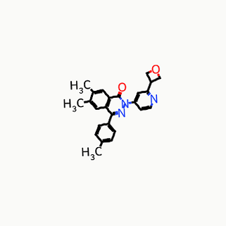 Cc1ccc(-c2nn(-c3ccnc(C4COC4)c3)c(=O)c3cc(C)c(C)cc23)cc1